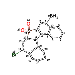 Bc1cc2c(c3ccccc13)-c1c(cc(Br)c3ccccc13)S2(=O)=O